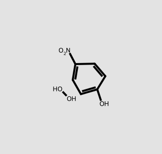 O=[N+]([O-])c1ccc(O)cc1.OO